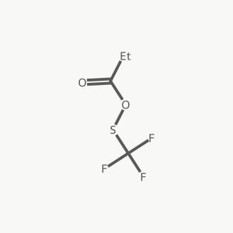 CCC(=O)OSC(F)(F)F